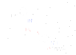 CNC(=O)Nc1ccc(OCC(O)CNCc2cccc(C(C)C)c2)cc1